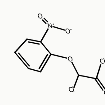 O=C(Cl)C(Cl)Oc1ccccc1[N+](=O)[O-]